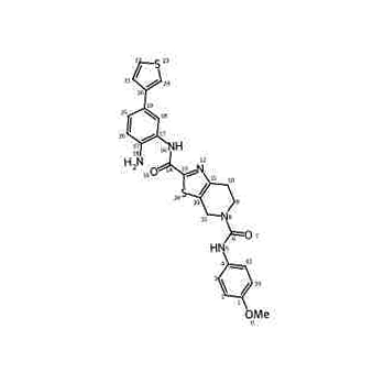 COc1ccc(NC(=O)N2CCc3nc(C(=O)Nc4cc(-c5ccsc5)ccc4N)sc3C2)cc1